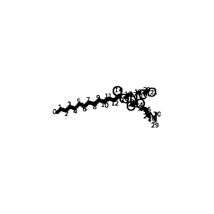 CCCCCCCCCCCCCC(=O)OCN(COC=O)C(=O)OCCCN(C)C